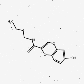 CCCCNC(=O)C1=COc2cc(O)ccc2O1